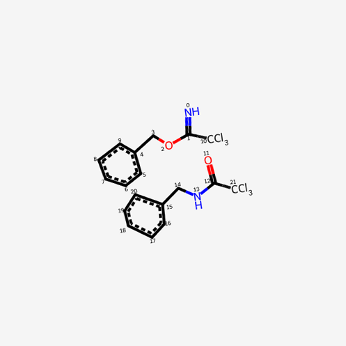 N=C(OCc1ccccc1)C(Cl)(Cl)Cl.O=C(NCc1ccccc1)C(Cl)(Cl)Cl